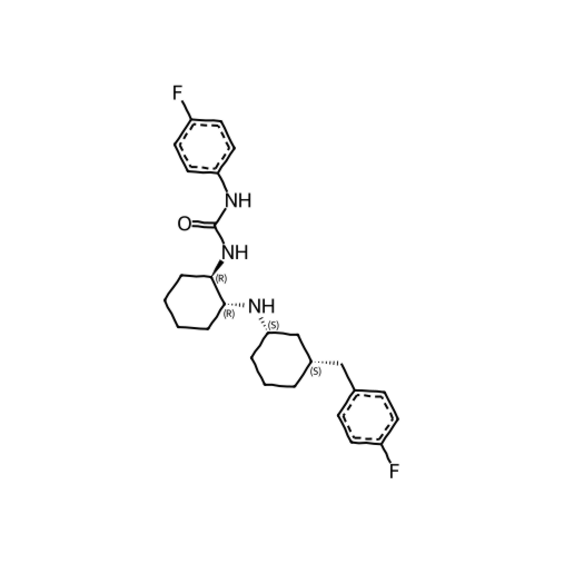 O=C(Nc1ccc(F)cc1)N[C@@H]1CCCC[C@H]1N[C@H]1CCC[C@@H](Cc2ccc(F)cc2)C1